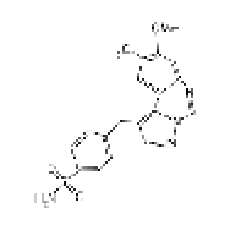 COc1cc2ncn3ncc(Cc4ccc(S(N)(=O)=O)cc4)c3c2cc1C